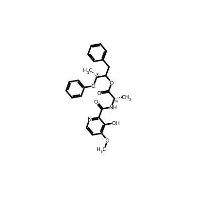 COc1ccnc(C(=O)N[C@@H](C)C(=O)OC(Cc2ccccc2)[C@@H](C)Oc2ccccc2)c1O